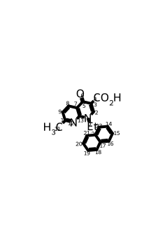 CCn1cc(C(=O)O)c(=O)c2ccc(C)nc21.c1ccc2ccccc2c1